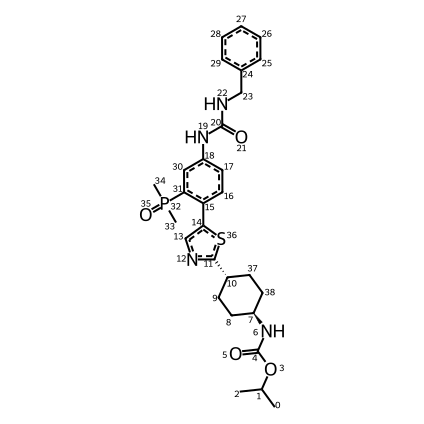 CC(C)OC(=O)N[C@H]1CC[C@H](c2ncc(-c3ccc(NC(=O)NCc4ccccc4)cc3P(C)(C)=O)s2)CC1